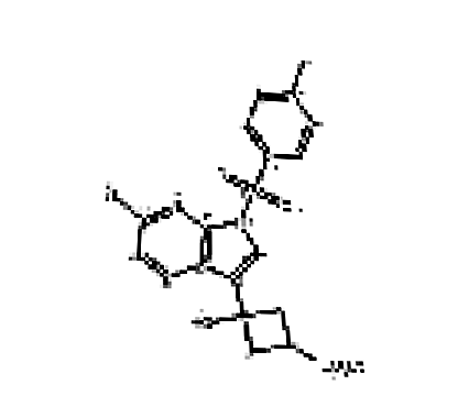 CCOC(=O)C1CC(O)(c2cn(S(=O)(=O)c3ccc(C)cc3)c3nc(Cl)ccc23)C1